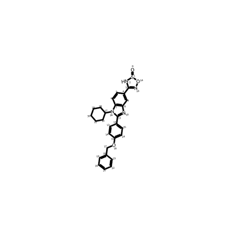 O=S1NC(c2ccc3c(c2)nc(-c2ccc(OCc4ccccc4)cc2)n3C2CCCCC2)=NO1